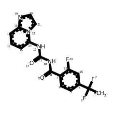 CC(F)(F)c1ccc(C(=O)NC(=O)Nc2cccc3nccn23)c(F)c1